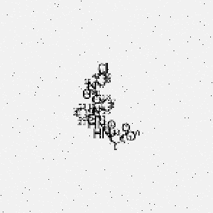 COC(=O)c1cccc(NC(=O)NCC(=O)N(CC2CCCCC2)c2ccccc2OCC(=O)N(C)c2cccc(Cl)c2)c1